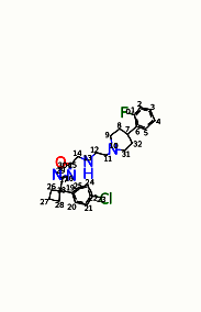 Fc1ccccc1C1CCN(CCNCc2nc(C3(c4ccc(Cl)cc4)CCC3)no2)CC1